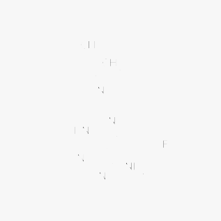 C=C1c2c(C)cccc2C=C(CNc2ncnc(N)c2C(=N)C#CCC)N1C1CCCC1